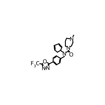 CN1CCCN(C(=O)N(Cc2ccc(-c3nnc(C(F)(F)F)o3)cc2)C2C=CC=CC2)CC1